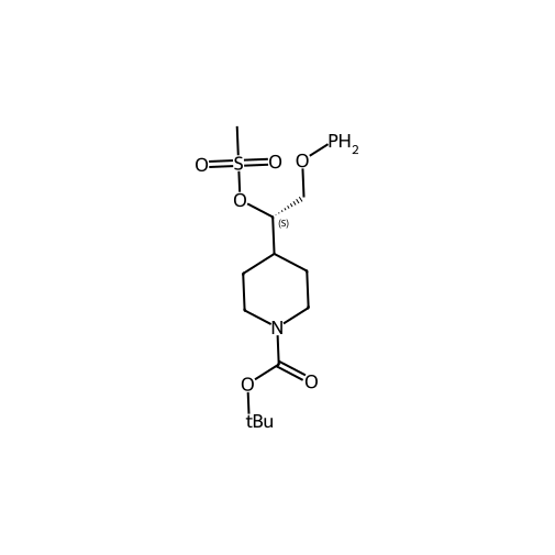 CC(C)(C)OC(=O)N1CCC([C@@H](COP)OS(C)(=O)=O)CC1